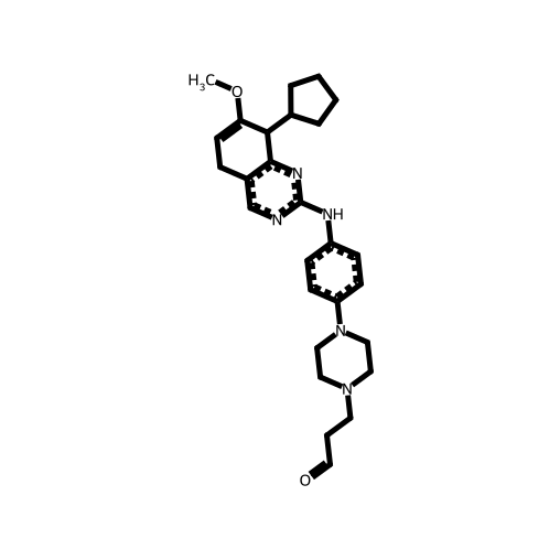 COC1=CCc2cnc(Nc3ccc(N4CCN(CCC=O)CC4)cc3)nc2C1C1CCCC1